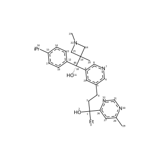 CCC(O)(CCc1cncc([C@@](O)(c2ccc(C(C)C)cc2)C2(C)CN(C)C2)c1)c1cc(C)ncn1